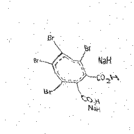 O=C(O)c1c(Br)c(Br)c(Br)c(Br)c1C(=O)O.[NaH].[NaH]